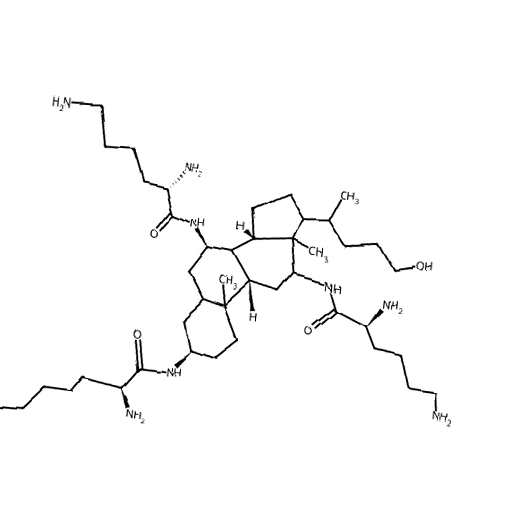 CC(CCCO)C1CC[C@H]2C3[C@H](NC(=O)[C@@H](N)CCCCN)CC4C[C@H](NC(=O)[C@@H](N)CCCCN)CCC4(C)[C@H]3CC(NC(=O)[C@@H](N)CCCCN)C12C